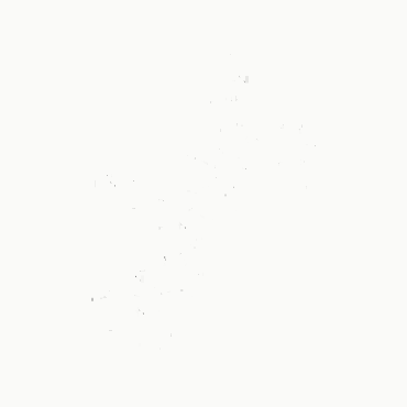 CCCCCCCCCCC(C)N(C(=O)c1ccc(-c2cc3ccc(C(=O)c4cc(CC(=O)NO)c(-c5cccc(O)c5)s4)cc3n2CCCCN)cc1)C(N)CCCCCCCCCC